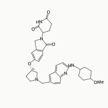 COC1CCC(Nc2ccc3cc(CN4CC[C@H](Oc5ccc6c(c5)CN(C5CCC(=O)NC5=O)C6=O)C4)ccc3n2)CC1